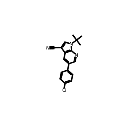 CC(C)(C)n1cc(C#N)c2cc(-c3ccc(Cl)cc3)cnc21